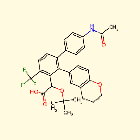 CC(=O)Nc1ccc(-c2ccc(C(F)(F)F)c(C(OC(C)(C)C)C(=O)O)c2-c2ccc3c(c2)CCCO3)cc1